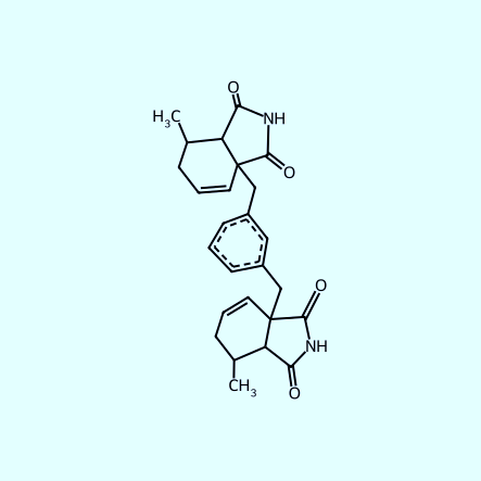 CC1CC=CC2(Cc3cccc(CC45C=CCC(C)C4C(=O)NC5=O)c3)C(=O)NC(=O)C12